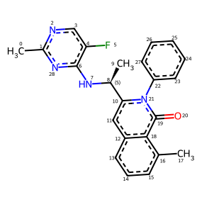 Cc1ncc(F)c(N[C@@H](C)c2cc3cccc(C)c3c(=O)n2-c2ccccc2)n1